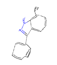 CCc1cccc2c(-c3ccccc3)n[nH]c12